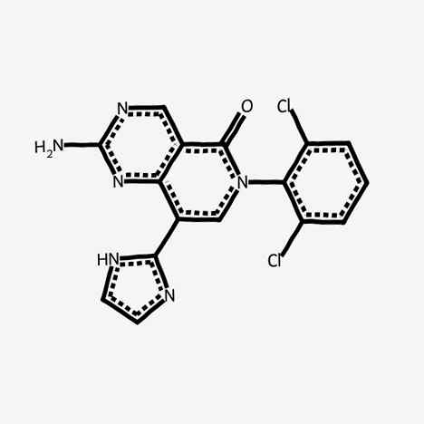 Nc1ncc2c(=O)n(-c3c(Cl)cccc3Cl)cc(-c3ncc[nH]3)c2n1